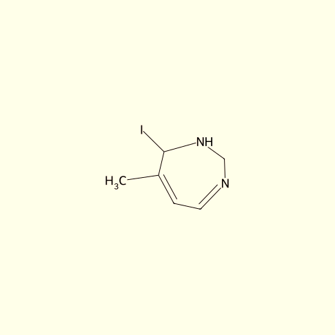 CC1=CC=NCNC1I